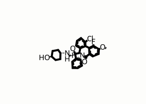 COc1ccc(C(N)=O)c(-c2c(Cl)ccc3c2C[C@@](CN[C@H]2CC[C@H](O)CC2)(c2ccccc2)O3)c1F